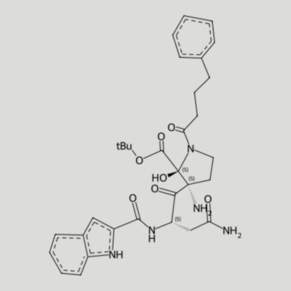 CC(C)(C)OC(=O)[C@]1(O)N(C(=O)CCCc2ccccc2)CC[C@@]1(N)C(=O)[C@H](CC(N)=O)NC(=O)c1cc2ccccc2[nH]1